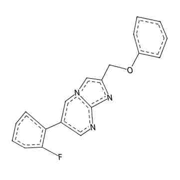 Fc1ccccc1-c1cnc2nc(COc3ccccc3)cn2c1